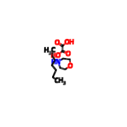 C1COCCN1.CCCCCCC.O=C(O)C(=O)O